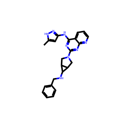 Cc1cc(Nc2nc(N3CC4C(C3)C4NCc3ccccc3)nc3ncccc23)n[nH]1